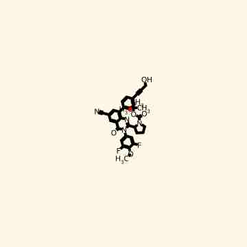 COc1c(F)cc(-n2c(C3CCCN3C(=O)OC(C)(C)C)nc3c(-c4ccc(C#CCO)cc4)cc(C#N)cc3c2=O)cc1F